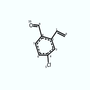 C=Cc1cc(Cl)ccc1C=O